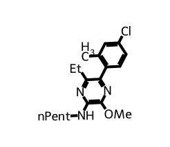 CCCCCNc1nc(CC)c(-c2ccc(Cl)cc2C)nc1OC